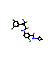 O=C(NC1CCC1)c1cc(NC(=O)C2C(c3cc(Cl)cc(Cl)c3)C2(Cl)Cl)ccc1Cl